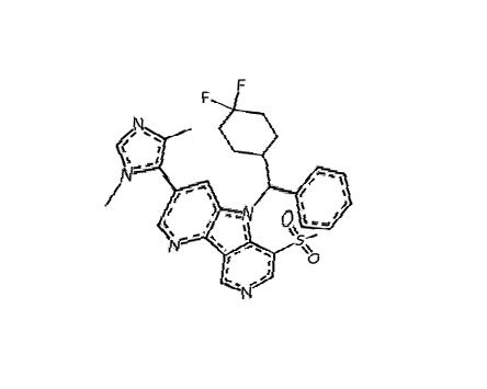 Cc1ncn(C)c1-c1cnc2c3cncc(S(C)(=O)=O)c3n(C(c3ccccc3)C3CCC(F)(F)CC3)c2c1